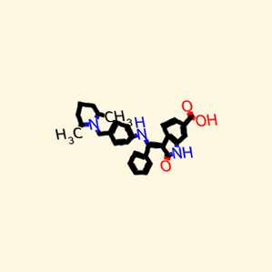 CC1CCCC(C)N1Cc1ccc(NC(=C2C(=O)Nc3cc(C(=O)O)ccc32)c2ccccc2)cc1